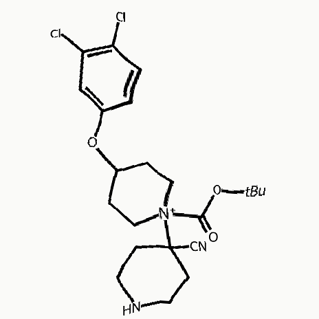 CC(C)(C)OC(=O)[N+]1(C2(C#N)CCNCC2)CCC(Oc2ccc(Cl)c(Cl)c2)CC1